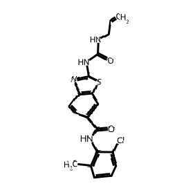 C=CCNC(=O)Nc1nc2ccc(C(=O)Nc3c(C)cccc3Cl)cc2s1